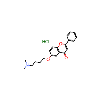 CN(C)CCCCOc1ccc2oc(-c3ccccc3)cc(=O)c2c1.Cl